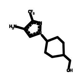 Nc1cn(C2CCC(CO)CC2)nc1C(F)(F)F